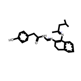 C/C(CC(C)C)=N\C1=C(/N=C/NC(=O)Cc2ccc(O)cc2)CCc2ccccc21